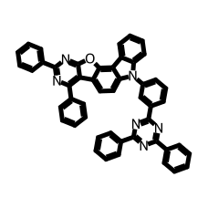 c1ccc(-c2nc(-c3ccccc3)nc(-c3cccc(-n4c5ccccc5c5c6oc7nc(-c8ccccc8)nc(-c8ccccc8)c7c6ccc54)c3)n2)cc1